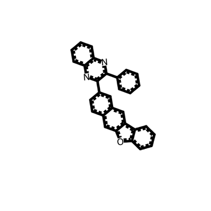 c1ccc(-c2nc3ccccc3nc2-c2ccc3cc4oc5ccccc5c4cc3c2)cc1